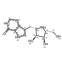 O=c1[nH]cnc2c(C[C@@H]3N[C@H](CO)[C@@H](O)[C@H]3O)c[nH]c12